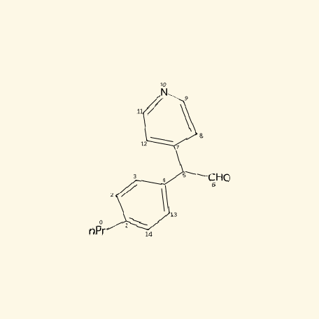 CCCc1ccc(C(C=O)c2ccncc2)cc1